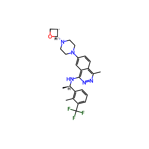 Cc1c([C@@H](C)Nc2nnc(C)c3ccc(N4CCN([C@H]5[CH]CO5)CC4)cc23)cccc1C(F)(F)F